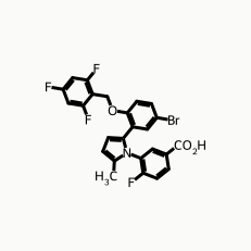 Cc1ccc(-c2cc(Br)ccc2OCc2c(F)cc(F)cc2F)n1-c1cc(C(=O)O)ccc1F